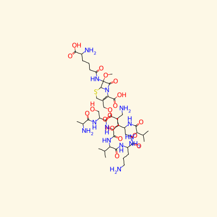 COC1(NC(=O)CCCC(N)C(=O)O)C(=O)N2C(C(=O)O)=C(COC(=O)CC(O)C(CC(N)=O)NC(=O)C(NC(=O)C(CCCN)NC(=O)C(NC(=O)C(CCCN)NC(=O)C(CO)NC(=O)C(C)N)C(C)C)C(C)C)CSC21